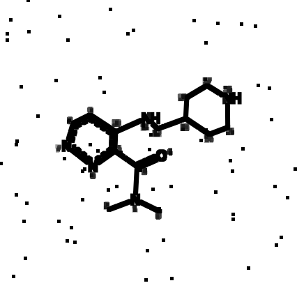 CN(C)C(=O)c1nnccc1NCC1CCNCC1